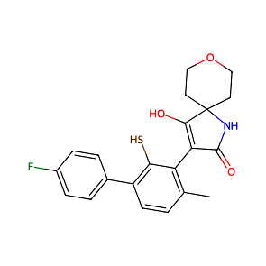 Cc1ccc(-c2ccc(F)cc2)c(S)c1C1=C(O)C2(CCOCC2)NC1=O